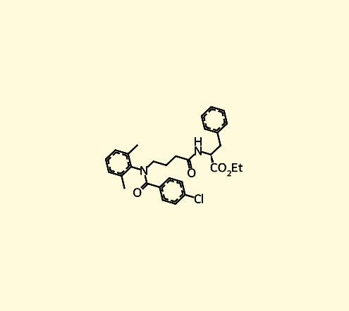 CCOC(=O)[C@H](Cc1ccccc1)NC(=O)CCCN(C(=O)c1ccc(Cl)cc1)c1c(C)cccc1C